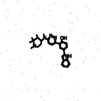 CC1C(N(C)c2ccc(-c3cc(-c4cc5ccccc5[nH]4)ccc3O)nn2)CCN(C)C1(C)C